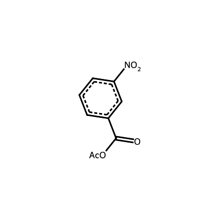 CC(=O)OC(=O)c1cccc([N+](=O)[O-])c1